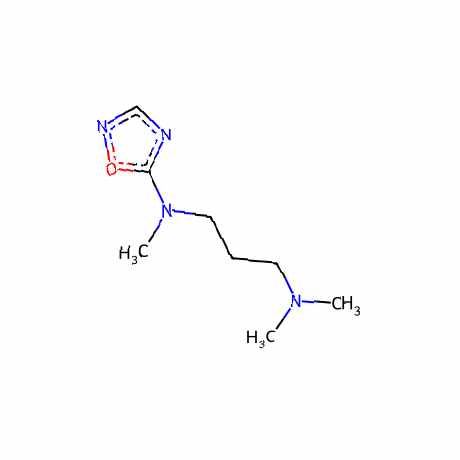 CN(C)CCCN(C)c1ncno1